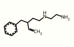 C=CC(CCNCCN)Cc1ccccc1